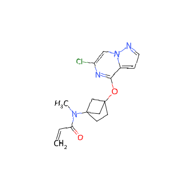 C=CC(=O)N(C)C12CCC(Oc3nc(Cl)cn4nccc34)(C1)C2